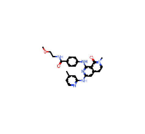 COCCNC(=O)c1ccc(Nc2nc(Nc3cc(C)ccn3)cc3ccn(C)c(=O)c23)cc1